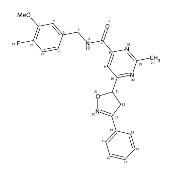 COc1cc(CNC(=O)c2cc(C3CC(c4ccccc4)=NO3)nc(C)n2)ccc1F